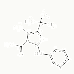 CC(=O)c1c(Nc2ccccc2)sc(C(C)(C)C)c1N